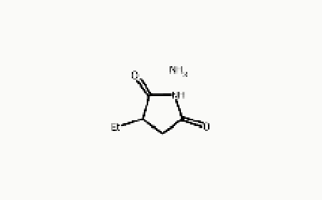 CCC1CC(=O)NC1=O.N